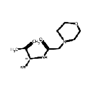 C=C(C)[C@H](CCC)NC(=O)CN1CCOCC1